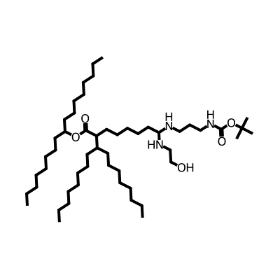 CCCCCCCCC(CCCCCCCC)OC(=O)C(CCCCCC(NCCO)NCCCNC(=O)OC(C)(C)C)C(CCCCCCCC)CCCCCCCC